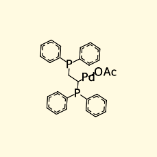 CC(=O)[O][Pd][CH](CP(c1ccccc1)c1ccccc1)P(c1ccccc1)c1ccccc1